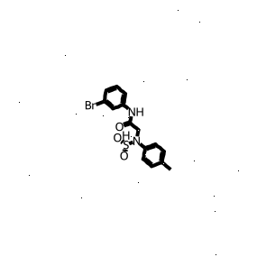 Cc1ccc(N(CC(=O)Nc2cccc(Br)c2)[SH](=O)=O)cc1